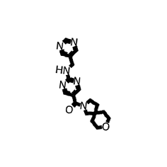 O=C(c1cnc(NCc2cncnc2)nc1)N1CCC2(CCOCC2)C1